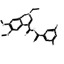 CCN1C=C(C(=O)NC(=O)c2cc(F)cc(F)c2)c2cc(OC)c(OC)cc2C1